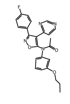 CCCOc1cccc(N(C(C)=O)c2onc(-c3ccc(F)cc3)c2-c2ccncn2)c1